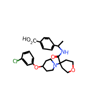 CC(NC(=O)C1(N2CCC(Oc3cccc(Cl)c3)CC2)CCOCC1)c1ccc(C(=O)O)cc1